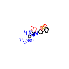 CS(=O)(=O)c1ccccc1-c1ccc(NC(=O)[C@@H](Nc2cccc(C(=N)N)c2)C(N)=O)cc1